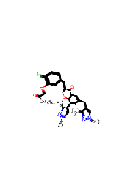 CCn1cc(Cc2cc3c(c(-c4cn(CC)nc4C(F)(F)F)c2)OC/C(=C\c2ccc(F)c(OCC(=O)OC)c2)C3=O)c(C(F)(F)F)n1